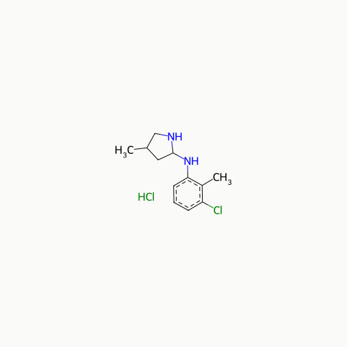 Cc1c(Cl)cccc1NC1CC(C)CN1.Cl